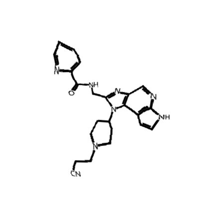 N#CCCN1CCC(n2c(CNC(=O)c3ccccn3)nc3cnc4[nH]ccc4c32)CC1